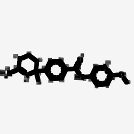 COc1ccc(NC(=O)c2ccc(C3(C)CCSC(N)=N3)cc2)cn1